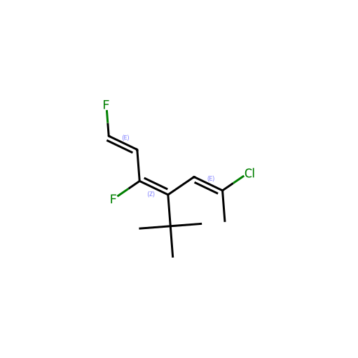 C\C(Cl)=C/C(=C(F)\C=C\F)C(C)(C)C